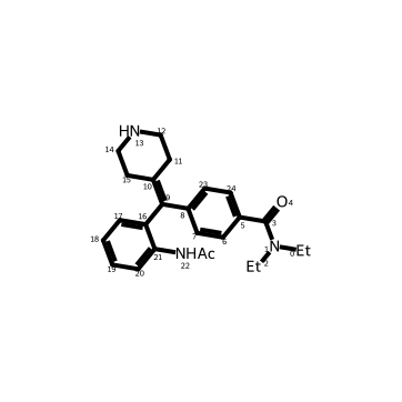 CCN(CC)C(=O)c1ccc(C(=C2CCNCC2)c2ccccc2NC(C)=O)cc1